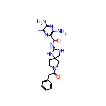 Nc1nc(N)c(C(=O)/N=C2\NCC3(CCN(C(=O)Cc4ccccc4)CC3)N2)nc1I